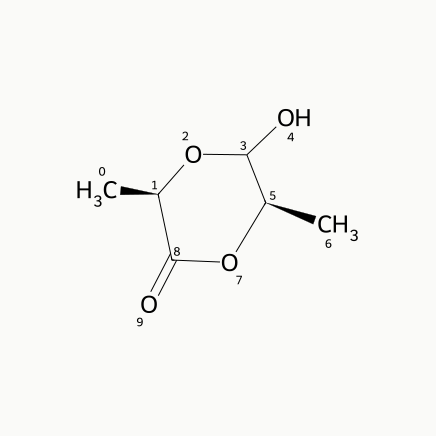 C[C@H]1OC(O)[C@@H](C)OC1=O